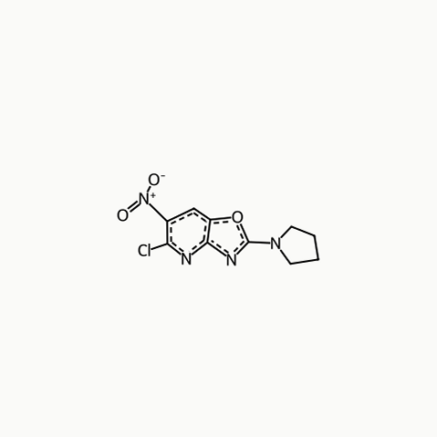 O=[N+]([O-])c1cc2oc(N3CCCC3)nc2nc1Cl